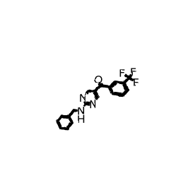 O=C(c1cnc(NCc2ccccc2)nc1)c1cccc(C(F)(F)F)c1